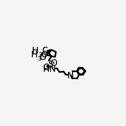 CC1(C)C2CCC1(CS(=O)(=O)NCCCCN1CCc3ccccc3C1)C(=O)C2